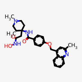 Cc1cc(COc2ccc(C(=O)NC3(CC(=O)NO)CCN(C)CC3C)cc2)c2ccccc2n1